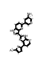 CC(=O)c1ccc(-c2ccnc3[nH]c(-c4n[nH]c5ccc(-c6cncc(N)c6)nc45)nc23)s1